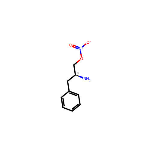 N[C@H](CO[N+](=O)[O-])Cc1ccccc1